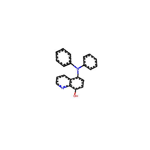 Oc1ccc(N(c2ccccc2)c2ccccc2)c2cccnc12